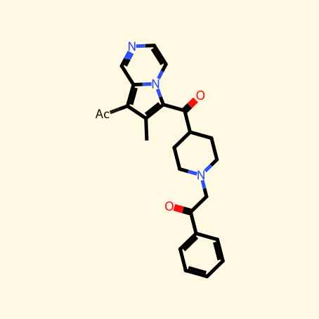 CC(=O)c1c(C)c(C(=O)C2CCN(CC(=O)c3ccccc3)CC2)n2ccncc12